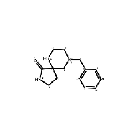 O=C1NCCC12CN(Cc1ccccc1)CCN2